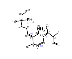 C=CC(C)/C(Cl)=N\C=N/C(C)/C(=C/CCC(F)(P)CF)CN